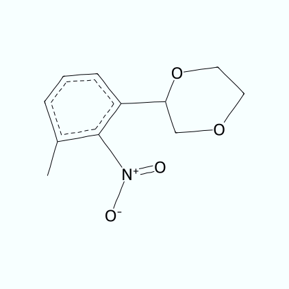 Cc1cccc(C2COCCO2)c1[N+](=O)[O-]